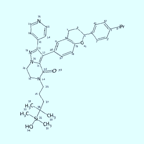 CC(C)c1ccc(C2CCc3cc(-c4c(-c5ccncc5)nn5c4C(=O)N(CCCC(C)(C)[Si](C)(C)O)CC5)ccc3O2)cc1